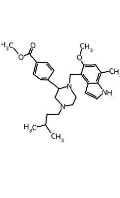 COC(=O)c1ccc(C2CN(CCC(C)C)CCN2Cc2c(OC)cc(C)c3[nH]ccc23)cc1